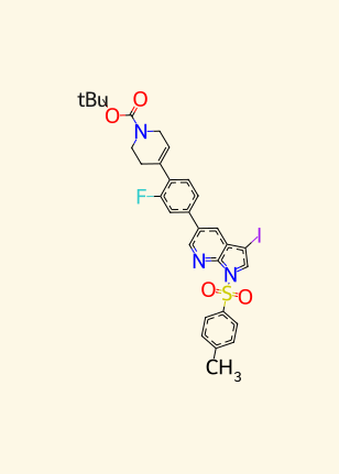 Cc1ccc(S(=O)(=O)n2cc(I)c3cc(-c4ccc(C5=CCN(C(=O)OC(C)(C)C)CC5)c(F)c4)cnc32)cc1